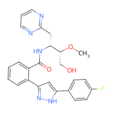 CO[C@H](CO)[C@@H](Cc1ncccn1)NC(=O)c1ccccc1-c1cc(-c2ccc(F)cc2)[nH]n1